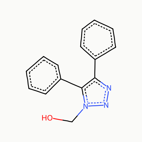 OCn1nnc(-c2ccccc2)c1-c1ccccc1